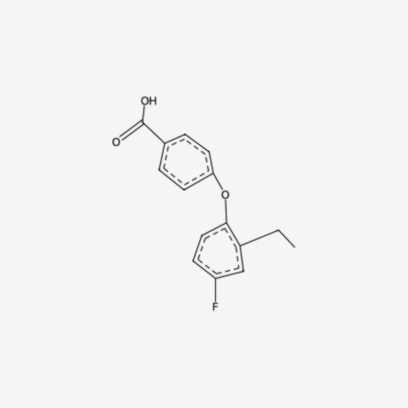 CCc1cc(F)ccc1Oc1ccc(C(=O)O)cc1